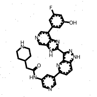 O=C(CC1CCNCC1)Nc1cncc(-c2ccc3[nH]nc(-c4nc5c(-c6cc(O)cc(F)c6)cncc5[nH]4)c3n2)c1